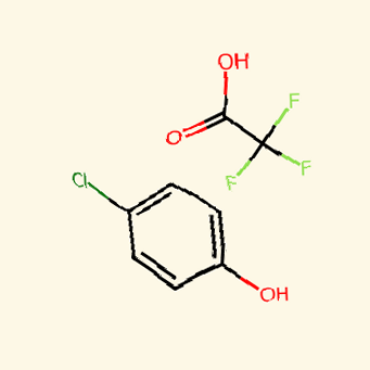 O=C(O)C(F)(F)F.Oc1ccc(Cl)cc1